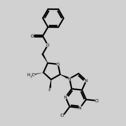 C[C@H]1[C@H](F)[C@H](n2cnc3c(Cl)nc(Cl)nc32)O[C@@H]1COC(=O)c1ccccc1